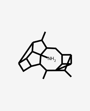 CC1C2C3CC4C3C2C2(N)C1CC1C3C(C)C5(C(C)C42)C1C35